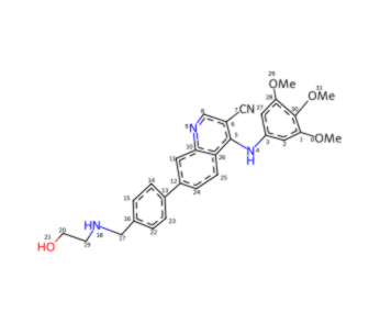 COc1cc(Nc2c(C#N)cnc3cc(-c4ccc(CNCCO)cc4)ccc23)cc(OC)c1OC